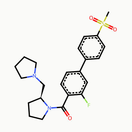 CS(=O)(=O)c1ccc(-c2ccc(C(=O)N3CCC[C@H]3CN3CCCC3)c(F)c2)cc1